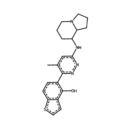 Cc1cc(NC2CCCN3CCCC23)nnc1-c1ccc2sccc2c1O